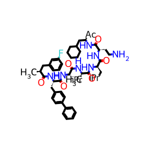 CC(=O)[C@H](CC1CCCCC1)NC(=O)[C@H](CCN)NC(=O)[C@@H](CC(C)C)NC(=O)[C@H](C)NC(=O)[C@@H](NC(=O)[C@H](Cc1ccc(-c2ccccc2)cc1)NC(=O)[C@@H](C)Cc1cccc(F)c1)C(C)C